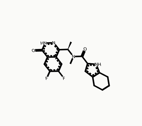 C[C@H](c1n[nH]c(=O)c2cc(F)c(F)cc12)N(C)C(=O)c1cc2c([nH]1)CCCC2